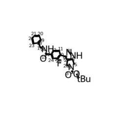 CC(C)(C)OC(=O)N1Cc2[nH]nc(-c3ccc(C(=O)NCc4ccccc4)cc3F)c2C1